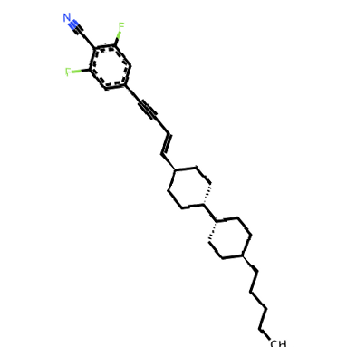 CCCCC[C@H]1CC[C@H]([C@H]2CC[C@H](C=CC#Cc3cc(F)c(C#N)c(F)c3)CC2)CC1